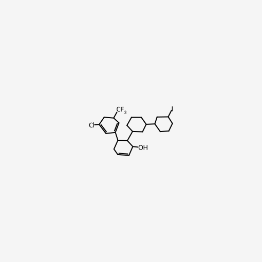 OC1C=CCC(C2=CC(C(F)(F)F)CC(Cl)=C2)C1C1CCCC(C2CCCC(I)C2)C1